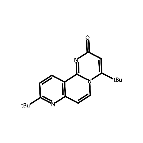 CC(C)(C)c1ccc2c(ccn3c(C(C)(C)C)cc(=O)nc23)n1